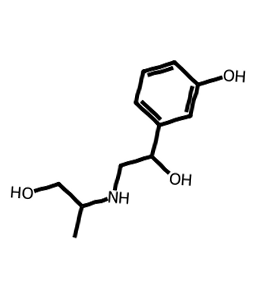 CC(CO)NCC(O)c1cccc(O)c1